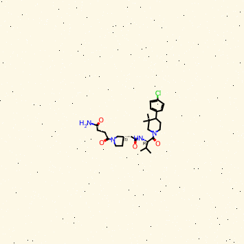 CC(C)[C@@H](NC(=O)C[C@@H]1CCN(C(=O)CCC(N)=O)C1)C(=O)N1CCC(c2ccc(Cl)cc2)C(C)(C)C1